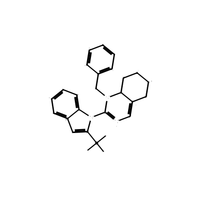 FC(F)(F)c1cc2ccccc2n1C1=NC=C2CCCCC2N1Cc1ccccc1